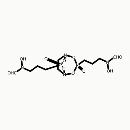 O=CN(O)CCCP1(=O)ON2CCN(O1)OP(=O)(CCCN(O)C=O)O2